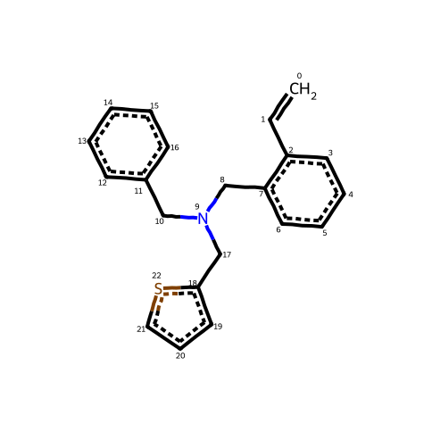 C=Cc1ccccc1CN(Cc1ccccc1)Cc1cccs1